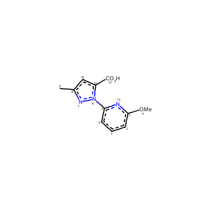 COc1cccc(-n2nc(C)cc2C(=O)O)n1